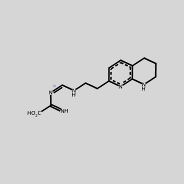 N=C(/N=C\NCCc1ccc2c(n1)NCCC2)C(=O)O